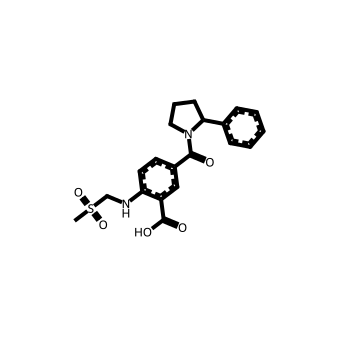 CS(=O)(=O)CNc1ccc(C(=O)N2CCCC2c2ccccc2)cc1C(=O)O